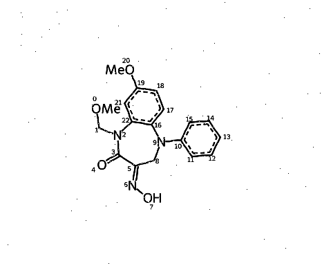 COCN1C(=O)/C(=N/O)CN(c2ccccc2)c2ccc(OC)cc21